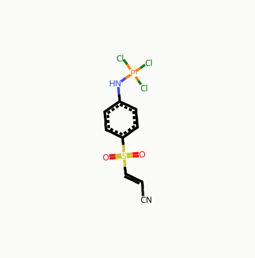 N#CC=CS(=O)(=O)c1ccc(N[P](Cl)(Cl)Cl)cc1